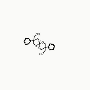 OCC1(c2ccccc2)COC2(OC1)OCC(CO)(c1ccccc1)CO2